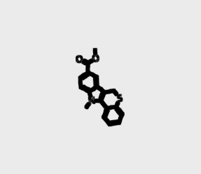 COC(=O)c1ccc2c(c1)c1c(n2C)-c2ccccc2SC1